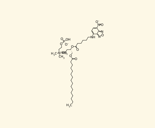 CCCCCCCCCCCCCCCC(=O)OC[C@H](CO)OC(=O)CCCCCNc1ccc([N+](=O)[O-])c2nonc12.C[N+](C)(C)CCOP(=O)([O-])O